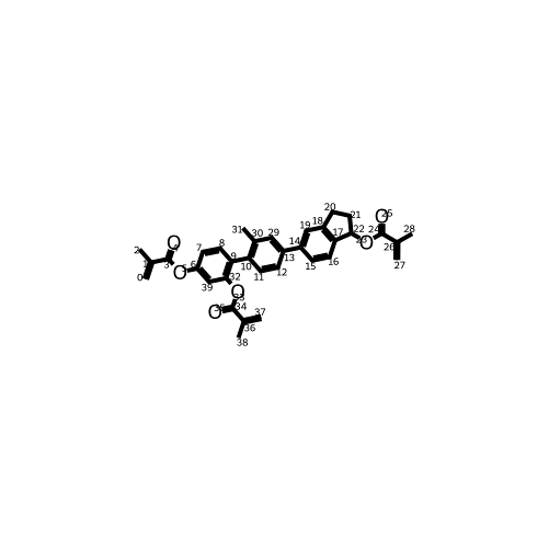 C=C(C)C(=O)Oc1ccc(-c2ccc(-c3ccc4c(c3)CCC4OC(=O)C(=C)C)cc2C)c(OC(=O)C(=C)C)c1